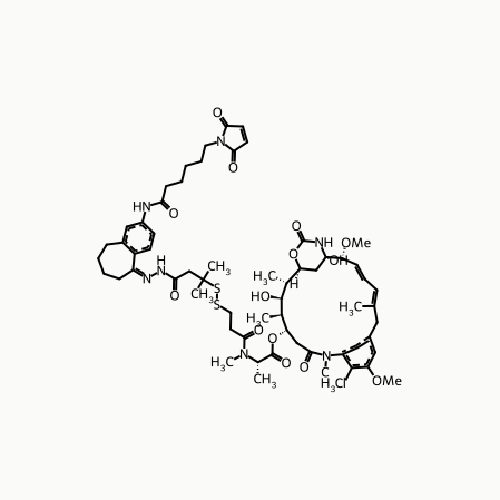 COc1cc2cc(c1Cl)N(C)C(=O)C[C@H](OC(=O)[C@H](C)N(C)C(=O)CCSSC(C)(C)CC(=O)N/N=C1/CCCCc3cc(NC(=O)CCCCCN4C(=O)C=CC4=O)ccc31)[C@@H](C)[C@@H](O)[C@H](C)[C@@H]1C[C@@](O)(NC(=O)O1)[C@H](OC)/C=C/C=C(\C)C2